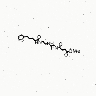 COC(=O)C=CC(=O)NCCNCCNC(=O)CCCC[C@@H]1CCSS1